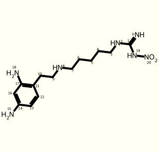 N=C(NCCCCCNCCc1ccc(N)cc1N)N[N+](=O)[O-]